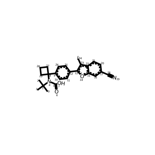 CC(C)(C)N(C(=O)O)C1(c2ccc(-c3oc4cc(C#N)ccc4c3I)cc2)CCC1